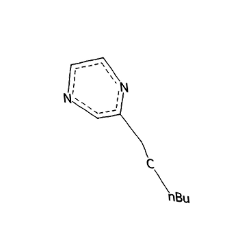 [CH2]CCCCCc1cnccn1